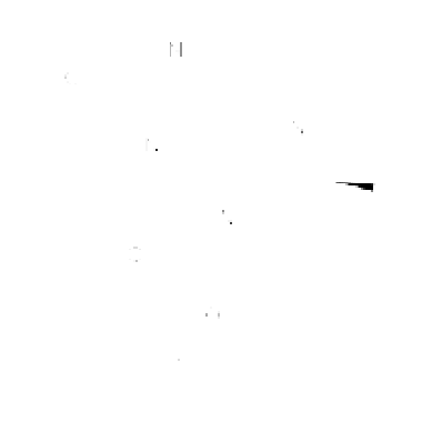 C[C@H]1CN(C(=O)OC(C)(C)C)c2nc(Cl)nc3ccn1c23